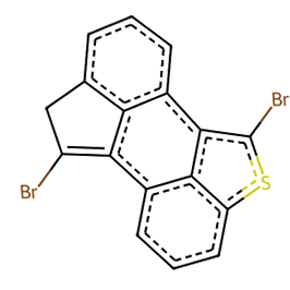 BrC1=c2c3cccc4sc(Br)c(c5cccc(c25)C1)c43